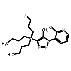 CCC[CH2][Sn]([CH2]CCC)([CH2]CCC)[c]1nnn(-c2cccnc2Cl)c1C